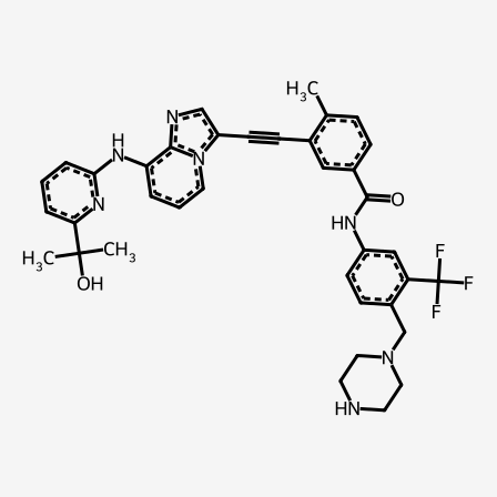 Cc1ccc(C(=O)Nc2ccc(CN3CCNCC3)c(C(F)(F)F)c2)cc1C#Cc1cnc2c(Nc3cccc(C(C)(C)O)n3)cccn12